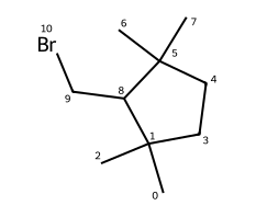 CC1(C)CCC(C)(C)C1CBr